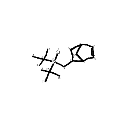 CC(C)(C)[Si](Cl)(CC1CC2C=CC1C2)C(C)(C)C